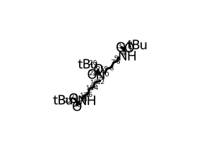 CC(C)(C)OC(=O)NCCCCCCN(CCCCCCNC(=O)OC(C)(C)C)C(=O)OC(C)(C)C